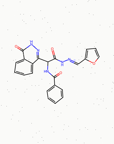 O=C(NC(C(=O)N/N=C/c1ccco1)c1n[nH]c(=O)c2ccccc12)c1ccccc1